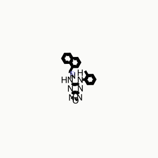 Cc1ccccc1Nc1nc2nonc2nc1N/N=C/c1cccc2ccccc12